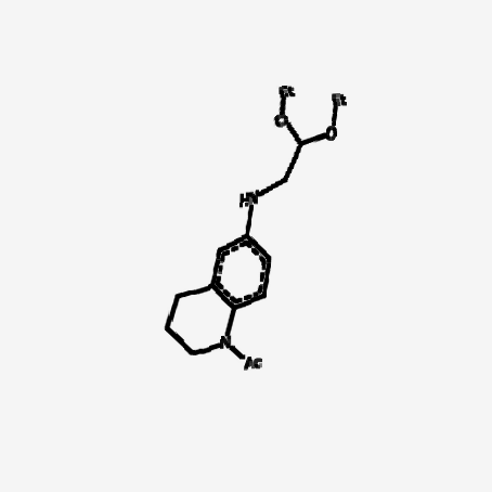 CCOC(CNc1ccc2c(c1)CCCN2C(C)=O)OCC